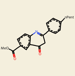 CCCCCc1ccc(C2=Nc3ccc(C(=O)OC)cc3C(=O)C2)cc1